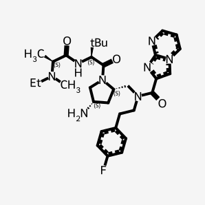 CCN(C)[C@@H](C)C(=O)N[C@H](C(=O)N1C[C@@H](N)C[C@H]1CN(CCc1ccc(F)cc1)C(=O)c1cn2cccnc2n1)C(C)(C)C